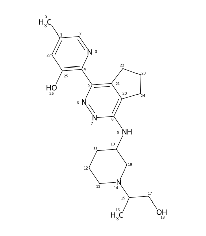 Cc1cnc(-c2nnc(NC3CCCN(C(C)CO)C3)c3c2CCC3)c(O)c1